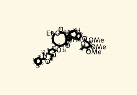 CC[C@H]1CCC[C@H](O[C@H]2CC[C@H](N(C)C(=O)c3ccccc3)C(C)O2)[C@@H](C)C(=O)C2=C[C@@H]3[C@@H](C=C[C@@H]4C[C@@H](O[C@@H]5OC(C)[C@H](OC)C(OC)C5OC)C[C@@H]34)[C@@H]2CC(=O)O1